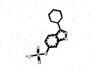 NS(=O)(=O)Oc1ccc2c(C3CCCCC3)noc2c1